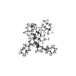 Cc1cc2c3c(c1)N(c1ccc4c(c1)C(C)(C)CCC4(C)C)c1cc4c(cc1B3c1ccc(-c3cc5ccccc5s3)cc1N2c1cccc(-c2cc3ccccc3s2)c1)C(C)(C)CCC4(C)C